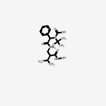 CC(C)C(CNC(=O)C(c1ccccc1)N(C(=O)O)C(C)(C)C)C(=O)NO